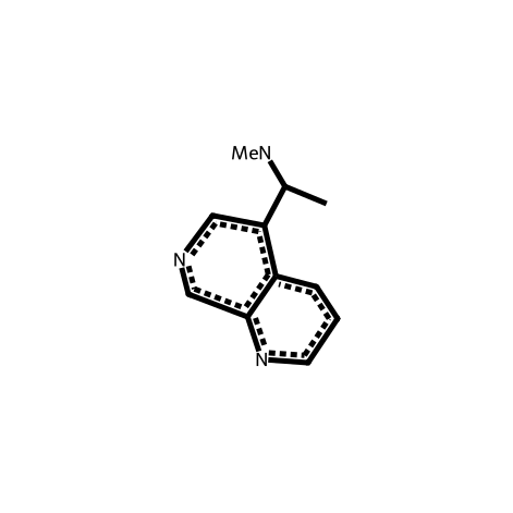 CNC(C)c1cncc2ncccc12